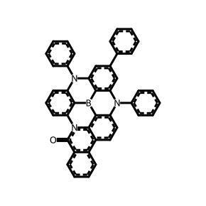 O=c1c2ccccc2c2ccc3c4c2n1-c1cccc2c1B4c1c(cc(-c4ccccc4)cc1N3c1ccccc1)N2c1ccccc1